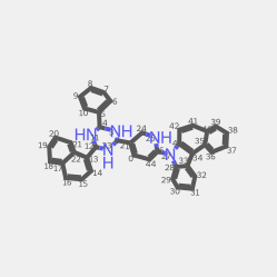 C1=C(C2NC(c3ccccc3)NC(c3cccc4ccccc34)N2)CNC(n2c3ccccc3c3c4ccccc4ccc32)=C1